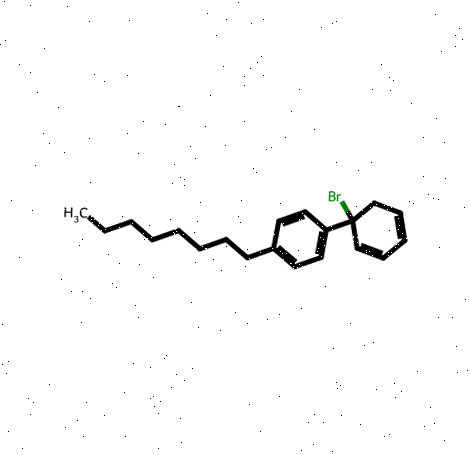 CCCCCCCCc1ccc(C2(Br)C=CC=CC2)cc1